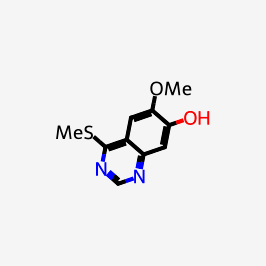 COc1cc2c(SC)ncnc2cc1O